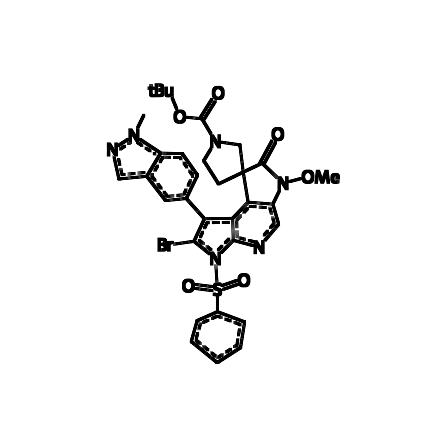 CON1C(=O)C2(CCN(C(=O)OC(C)(C)C)C2)c2c1cnc1c2c(-c2ccc3c(cnn3C)c2)c(Br)n1S(=O)(=O)c1ccccc1